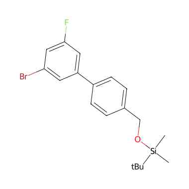 CC(C)(C)[Si](C)(C)OCc1ccc(-c2cc(F)cc(Br)c2)cc1